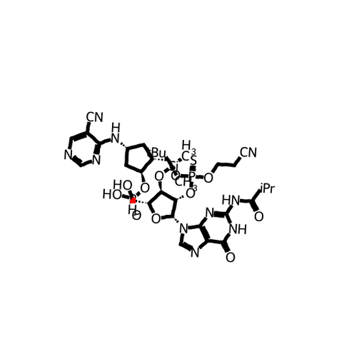 CC(C)C(=O)Nc1nc2c(ncn2[C@@H]2O[C@H](CO)[C@@H](O[Si](C)(C)C(C)(C)C)[C@@H]2OP(=S)(OCCC#N)OC[C@H]2C[C@@H](Nc3ncncc3C#N)C[C@@H]2O[PH](=O)O)c(=O)[nH]1